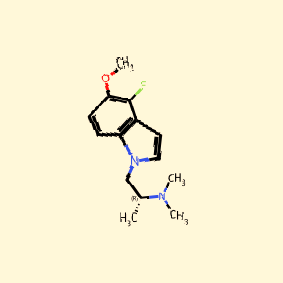 COc1ccc2c(ccn2C[C@@H](C)N(C)C)c1F